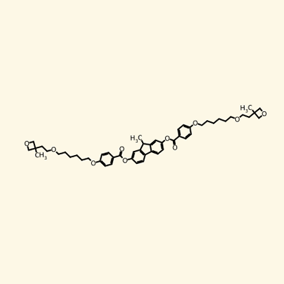 CC1c2cc(OC(=O)c3ccc(OCCCCCCOCCC4(C)COC4)cc3)ccc2-c2ccc(OC(=O)c3ccc(OCCCCCCOCCC4(C)COC4)cc3)cc21